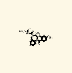 CCOc1ccc(C(=O)N2C[C@@H](C)N(C(=O)N[C@@H](C)C(=O)O)Cc3ccccc32)c(Cl)c1